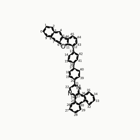 c1ccc2cc3c(cc2c1)oc1c(-c2ccc(-c4ccc(-c5cnc6c7ccccc7c7ccccc7c6n5)cc4)cc2)cccc13